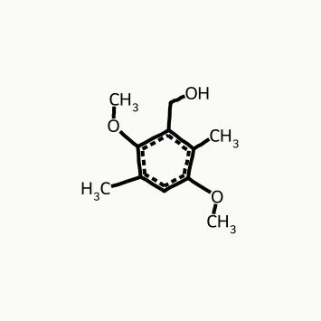 COc1cc(C)c(OC)c(CO)c1C